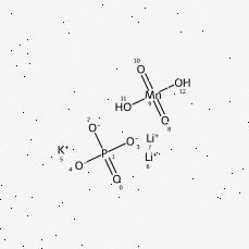 O=P([O-])([O-])[O-].[K+].[Li+].[Li+].[O]=[Mn](=[O])([OH])[OH]